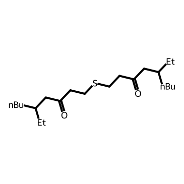 CCCCC(CC)CC(=O)CCSCCC(=O)CC(CC)CCCC